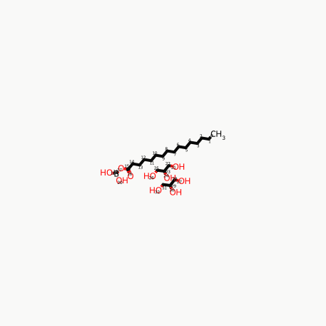 CCCCCCCCCCCCCCCC(=O)OB(O)O.OCC(O)CO.OCC(O)CO